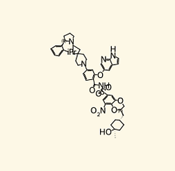 CC(C)c1ccccc1[C@H]1CCCN1C1CC2(CCN(c3ccc(C(=O)NS(=O)(=O)c4cc5c(c([N+](=O)[O-])c4)O[C@H](C[C@H]4CC[C@](C)(O)CC4)CO5)c(Oc4cnc5[nH]ccc5c4)c3)CC2)C1